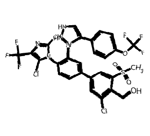 Cc1nc(C(F)(F)F)c(Cl)n1-c1ccc(-c2cc(Cl)c(CO)c(S(C)(=O)=O)c2)cc1N1NNC=C1c1ccc(OC(F)(F)F)cc1